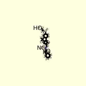 CN(CCO)c1ccc2c(c1)C(C)(C)c1cc(/C=C(\C#N)c3nc4ccccc4o3)sc1-2